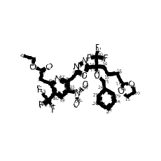 CCOC(=O)Cc1nc(-c2nnc(C(CCCC3OCCO3)(OCc3ccccc3)C(F)(F)F)o2)c([N+](=O)[O-])cc1C(F)(F)F